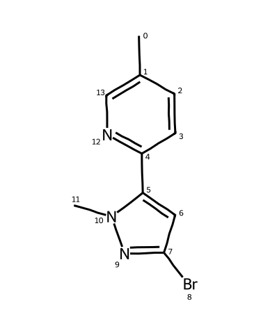 Cc1ccc(-c2cc(Br)nn2C)nc1